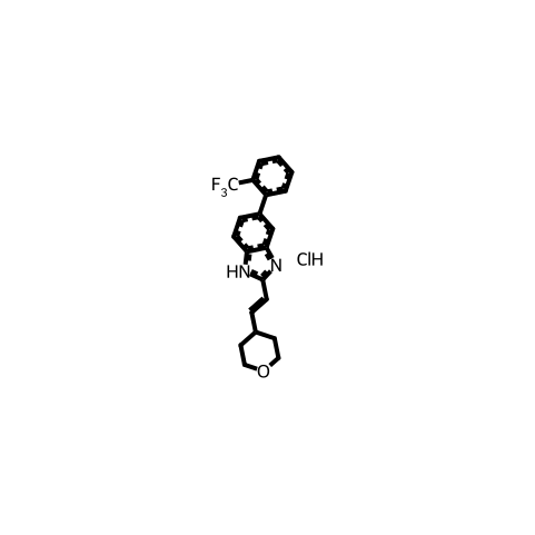 Cl.FC(F)(F)c1ccccc1-c1ccc2[nH]c(/C=C/C3CCOCC3)nc2c1